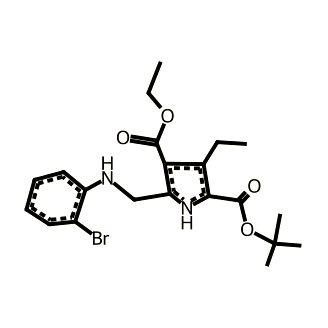 CCOC(=O)c1c(CNc2ccccc2Br)[nH]c(C(=O)OC(C)(C)C)c1CC